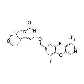 C[C@@]12COCCN1c1cc(OCc3cc(F)c(Oc4cncc(C(F)(F)F)c4)c(F)c3)nc(=O)n1C2